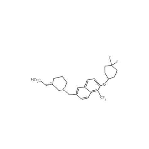 O=C(O)C[C@H]1CCCN(Cc2ccc3c(C(F)(F)F)c(OC4CCC(F)(F)CC4)ccc3c2)C1